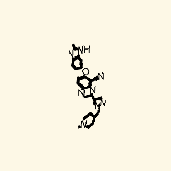 Cc1nc2ccc(Oc3ccc4ncc(-c5cnn(CC6CCN(C)CC6)c5)nc4c3C#N)cc2[nH]1